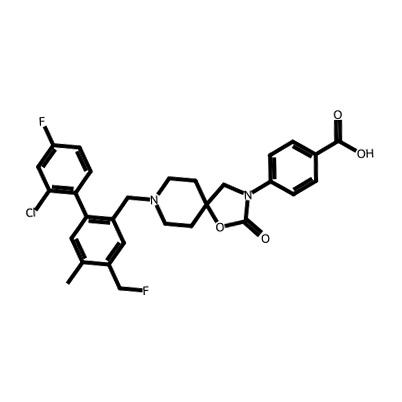 Cc1cc(-c2ccc(F)cc2Cl)c(CN2CCC3(CC2)CN(c2ccc(C(=O)O)cc2)C(=O)O3)cc1CF